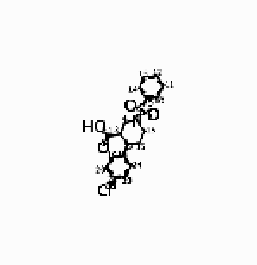 O=C(O)C1CN(S(=O)(=O)c2ccccc2)CCC1c1ccc(Cl)cc1